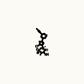 CC#Cc1cncc(-c2cc([C@]3(C)CS(=O)(=O)N(C)C(=N)N3)c(Cl)s2)c1